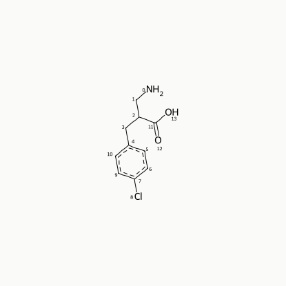 NCC(Cc1ccc(Cl)cc1)C(=O)O